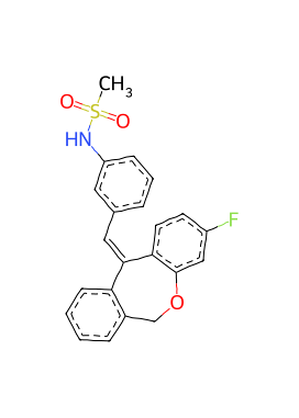 CS(=O)(=O)Nc1cccc(/C=C2/c3ccccc3COc3cc(F)ccc32)c1